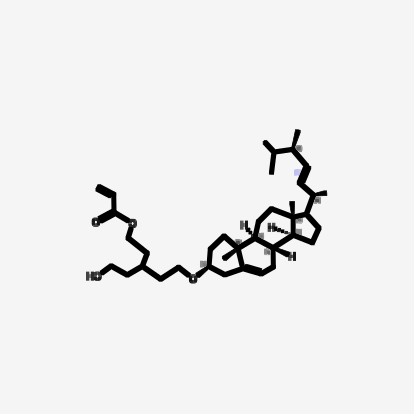 C=CC(=O)OCCC(CCO)CCO[C@H]1CC[C@@]2(C)C(=CC[C@@H]3[C@@H]2CC[C@]2(C)C([C@H](C)/C=C/[C@H](C)C(C)C)CC[C@@H]32)C1